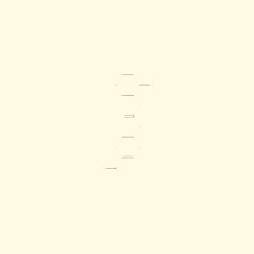 O=C(Cc1ccccc1[N+](=O)[O-])Nc1ccc(C(=O)NO)cc1